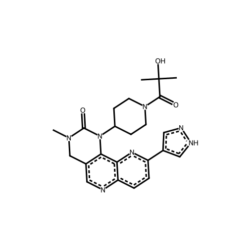 CN1Cc2cnc3ccc(-c4cn[nH]c4)nc3c2N(C2CCN(C(=O)C(C)(C)O)CC2)C1=O